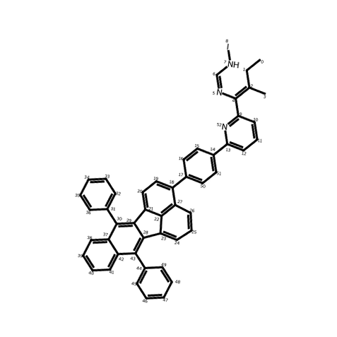 CC/C(C)=C(\N=C/NI)c1cccc(-c2ccc(-c3ccc4c5c(cccc35)-c3c-4c(-c4ccccc4)c4ccccc4c3-c3ccccc3)cc2)n1